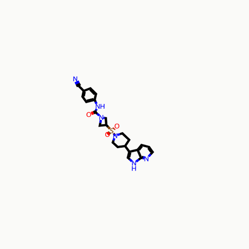 N#Cc1ccc(NC(=O)N2CC(S(=O)(=O)N3CCC(c4c[nH]c5ncccc45)CC3)C2)cc1